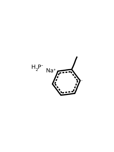 Cc1[c]cccc1.[Na+].[PH2-]